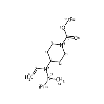 C=CN(C1CCN(C(=O)OC(C)(C)C)CC1)N(C)C(C)C